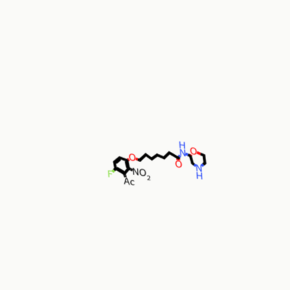 CC(=O)c1c(F)ccc(OCCCCCCC(=O)NC2CNCCO2)c1[N+](=O)[O-]